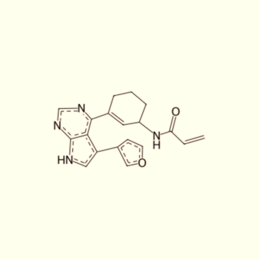 C=CC(=O)NC1C=C(c2ncnc3[nH]cc(-c4ccoc4)c23)CCC1